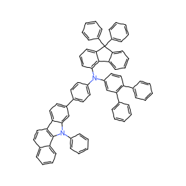 c1ccc(-c2ccc(N(c3ccc(-c4ccc5c6ccc7ccccc7c6n(-c6ccccc6)c5c4)cc3)c3cccc4c3-c3ccccc3C4(c3ccccc3)c3ccccc3)cc2-c2ccccc2)cc1